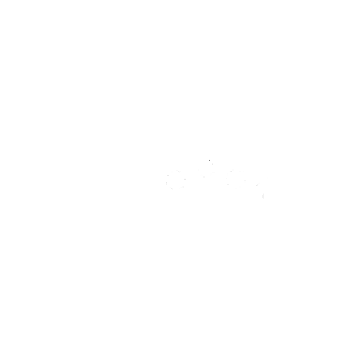 CCCCCCCOc1ccc(-c2cnc(-c3ccc(C(=O)O)cc3)s2)cc1